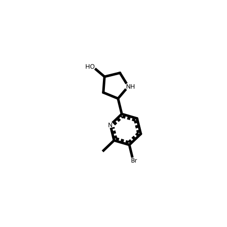 Cc1nc(C2CC(O)CN2)ccc1Br